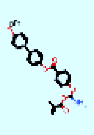 C=C(C)C(=O)OC(N)Oc1ccc(C(=O)Oc2ccc(-c3ccc(OCCC)cc3)cc2)cc1